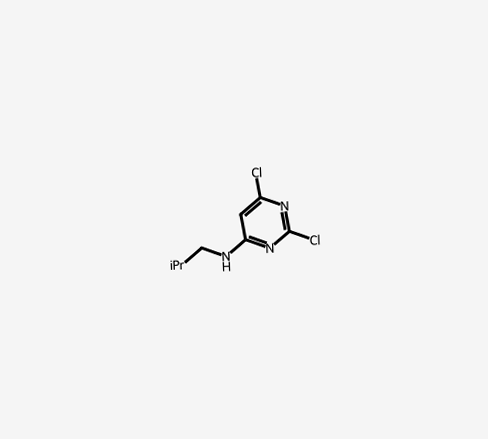 CC(C)CNc1cc(Cl)nc(Cl)n1